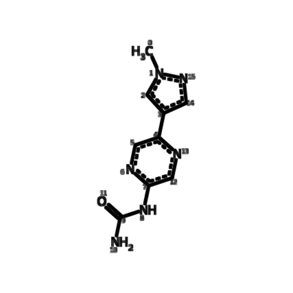 Cn1cc(-c2cnc(NC(N)=O)cn2)cn1